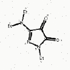 CCN(CC)C1=NN(CC)C(=O)C1=O